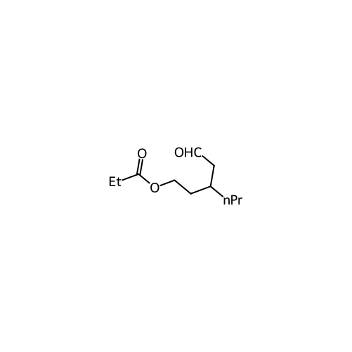 CCCC(CC=O)CCOC(=O)CC